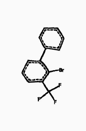 FC(F)(F)c1cccc(-c2ccccc2)c1Br